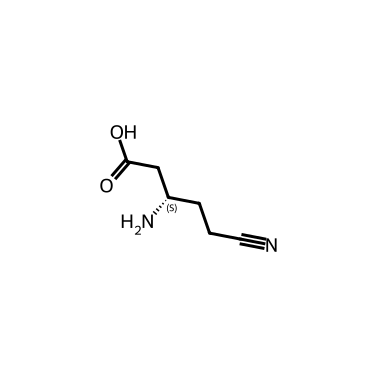 N#CCC[C@H](N)CC(=O)O